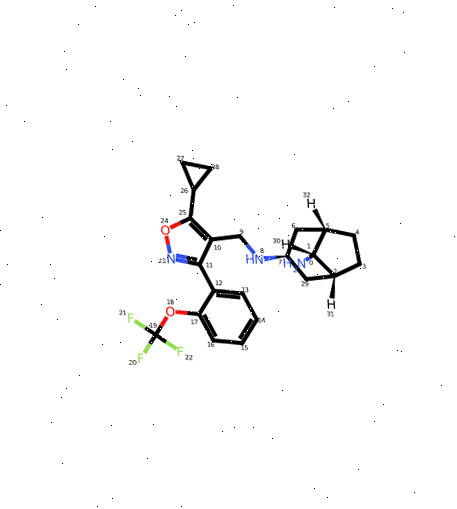 N[C@H]1[C@@H]2CC[C@H]1C[C@H](NCc1c(-c3ccccc3OC(F)(F)F)noc1C1CC1)C2